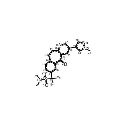 CN(C)S(=O)(=O)C(F)(F)c1ccc2ccc3ncc(-c4cnn(C)c4)cc3c(=O)c2c1